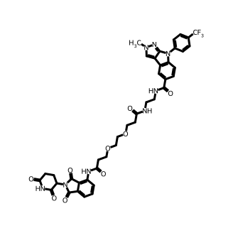 Cn1cc2c3cc(C(=O)NCCNC(=O)CCOCCOCCC(=O)Nc4cccc5c4C(=O)N(C4CCC(=O)NC4=O)C5=O)ccc3n(-c3ccc(C(F)(F)F)cc3)c2n1